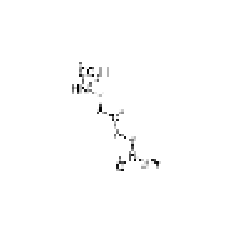 CC(C)N(O)CCOCCNC(=O)O